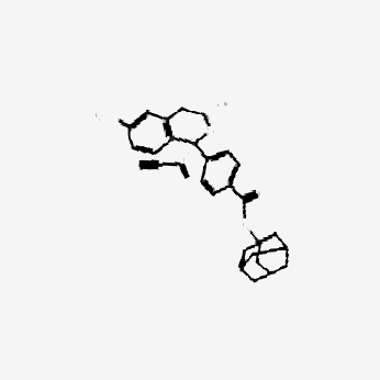 C#CC(=O)[C@@]1(c2ccc(C(=O)NC34CC5CC(CC(C5)C3)C4)cc2)N[C@@H](CCCC)Cc2cc(OC)ccc21